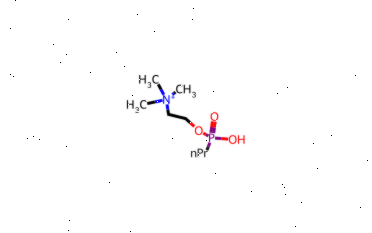 CCCP(=O)(O)OCC[N+](C)(C)C